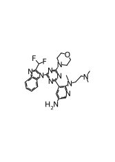 CN(C)CCN(C)c1ncc(N)cc1-c1nc(N2CCOCC2)nc(-n2c(C(F)F)nc3ccccc32)n1